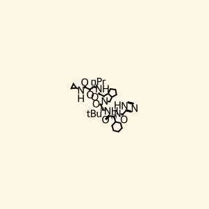 CCC[C@H](NC(=O)C1C2CCCC2CN1C(=O)[C@H](NC(=O)[C@H](NC(=O)c1cnccn1)C1CCCCC1)C(C)(C)C)C(=O)C(=O)NC1CC1